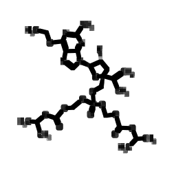 C=C(C)[C@@]1(COP(=O)(OCOC(=O)OC(C)C)OCOC(=O)OC(C)C)C[C@@H](F)[C@H](n2cnc3c(OCC)nc(N)nc32)O1